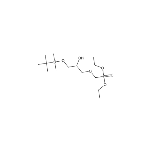 CCOP(=O)(COCC(O)CO[Si](C)(C)C(C)(C)C)OCC